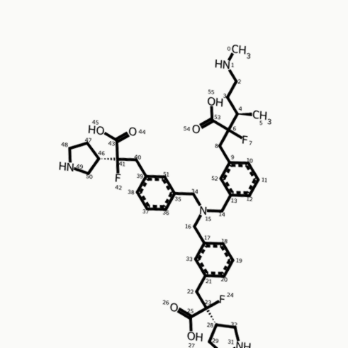 CNCC[C@@H](C)C(F)(Cc1cccc(CN(Cc2cccc(CC(F)(C(=O)O)[C@H]3CCNC3)c2)Cc2cccc(CC(F)(C(=O)O)[C@H]3CCNC3)c2)c1)C(=O)O